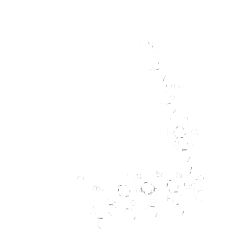 C=CC(=O)OC(C)CCCCCC.C=CC(=O)OC12CCC(CC1)C2.C=CC(=O)OCC(C)(C)C.C=CC(=O)OCCCCCC(C)C.C=CC(=O)OCC[N+](=O)[O-].C=CC(=O)Oc1c(Br)c(Br)c(Br)c(Br)c1Br.C=CC(=O)Oc1c(Cl)c(Cl)c(Cl)c(Cl)c1Cl.C=CC(=O)Oc1ccc([N+](=O)[O-])cc1.C=CC(=O)Oc1ccccc1CCCCCCCCC